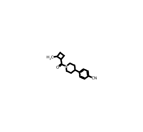 [CH2]C1CCC1C(=O)N1CCC(c2ccc(C#N)cc2)CC1